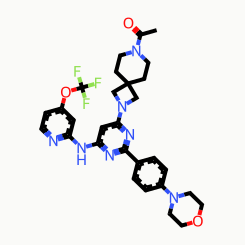 CC(=O)N1CCC2(CC1)CN(c1cc(Nc3cc(OC(F)(F)F)ccn3)nc(-c3ccc(N4CCOCC4)cc3)n1)C2